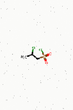 CC(Cl)CS(=O)(=O)Cl